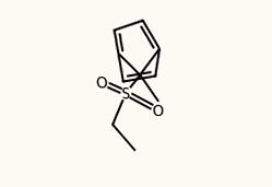 CCS(=O)(=O)C1(C)C2=CC=C1C=C2